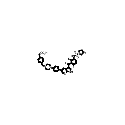 O=C(O)Cc1ccc(CN2CCN(c3ccc(-c4cnc5[nH]cc(C(=O)c6c(F)ccc(NS(=O)(=O)N7CC[C@@H](F)C7)c6F)c5c4)cc3)CC2)cc1